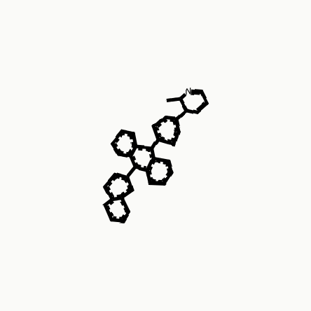 CC1N=CC=CC1c1ccc(-c2c3ccccc3c(-c3ccc4ccccc4c3)c3ccccc23)cc1